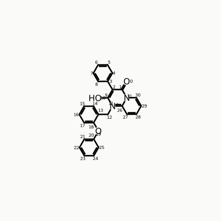 O=c1c(-c2ccccc2)c(O)[n+](Cc2ccccc2Oc2ccccc2)c2ccccn12